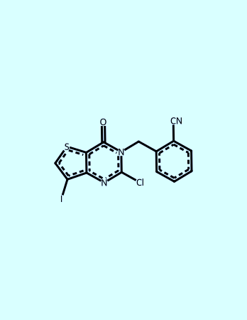 N#Cc1ccccc1Cn1c(Cl)nc2c(I)csc2c1=O